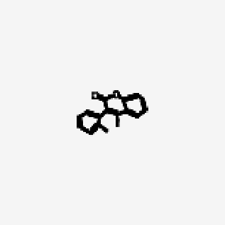 Cc1ccccc1-c1c(C)c2ccccc2oc1=O